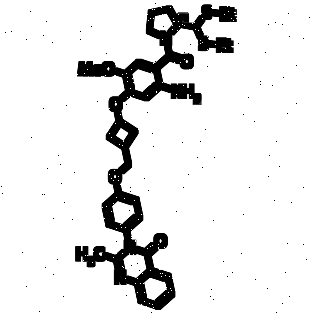 CCSC(SCC)[C@@H]1CCCN1C(=O)c1cc(OC)c(OC2CC(COc3ccc(-n4c(C)nc5ccccc5c4=O)cc3)C2)cc1N